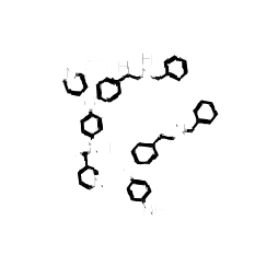 Nc1ccc(Oc2ccc(CCNCc3ccccc3)cc2)cc1.O=C(Nc1ccc(Oc2ccc(CCNCc3ccccc3)cc2)cc1)c1cccnc1.O=C(O)c1ccccn1